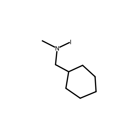 CN(I)CC1CCCCC1